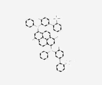 CCS(C)(C)c1ccccc1-c1ccc(C)c(N(c2ccccc2)c2cc(C(C)C)c3ccc4c(N(c5ccccc5)c5cc(-c6ccccc6S(C)(C)C)ccc5C)cc(C(C)C)c5ccc2c3c54)c1